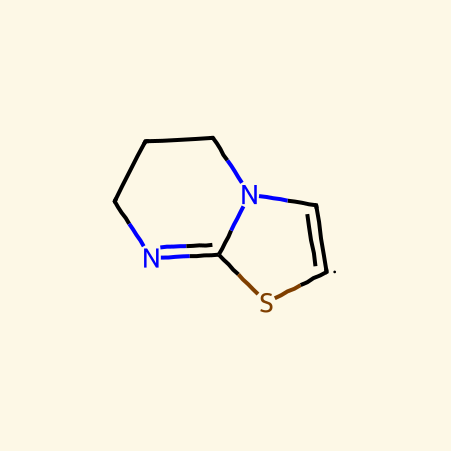 [C]1=CN2CCCN=C2S1